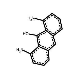 Nc1cccc2cc3cccc(N)c3c(O)c12